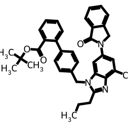 CCCc1nc2c(Cl)cc(N3Cc4ccccc4C3=O)cc2n1Cc1ccc(-c2ccccc2C(=O)OC(C)(C)C)cc1